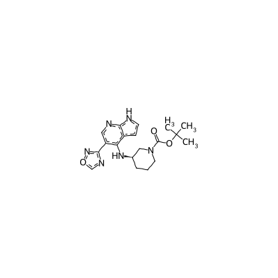 CC(C)(C)OC(=O)N1CCC[C@@H](Nc2c(-c3ncon3)cnc3[nH]ccc23)C1